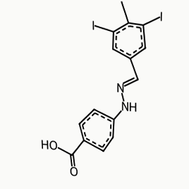 Cc1c(I)cc(/C=N/Nc2ccc(C(=O)O)cc2)cc1I